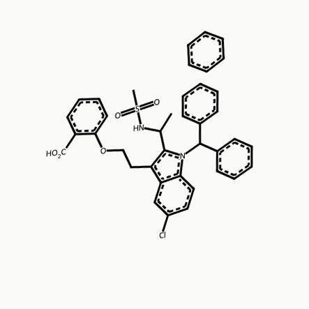 CC(NS(C)(=O)=O)c1c(CCOc2ccccc2C(=O)O)c2cc(Cl)ccc2n1C(c1ccccc1)c1ccccc1.c1ccccc1